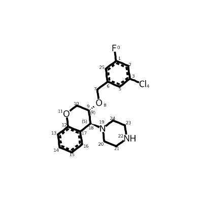 Fc1cc(Cl)cc(CO[C@H]2COc3ccccc3[C@@H]2N2CCNCC2)c1